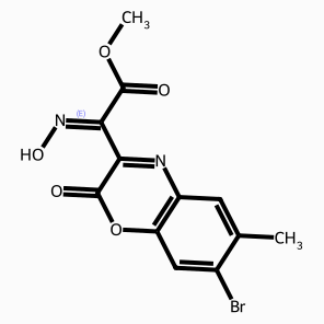 COC(=O)/C(=N/O)c1nc2cc(C)c(Br)cc2oc1=O